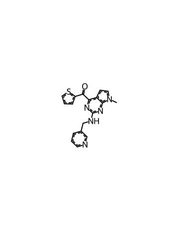 Cn1ccc2c(C(=O)c3cccs3)nc(NCc3cccnc3)nc21